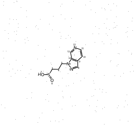 O=S(O)CCCn1ncc2ccncc21